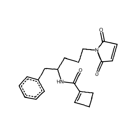 O=C(NC(CCCN1C(=O)C=CC1=O)Cc1ccccc1)C1=CCC1